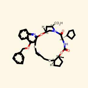 C[C@@]12CCC[C@H]1CC/C=C/Cc1c(nc3ccccc3c1OCc1ccccc1)O[C@@H]1C[C@@H](C(=O)O)N(C1)C(=O)[C@H](C1CCCC1)NC(=O)O2